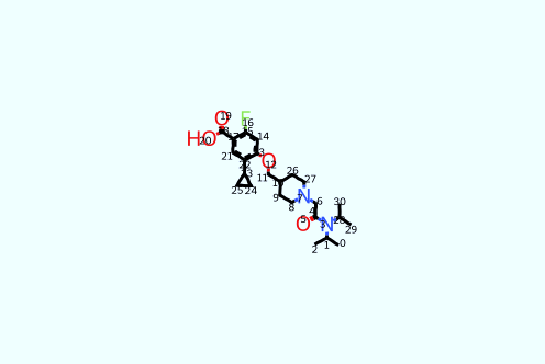 CC(C)N(C(=O)CN1CCC(COc2cc(F)c(C(=O)O)cc2C2CC2)CC1)C(C)C